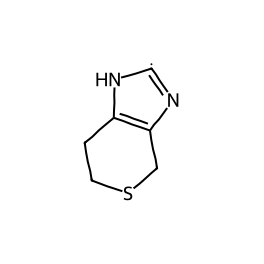 [c]1nc2c([nH]1)CCSC2